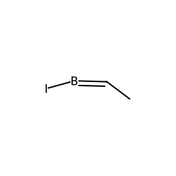 CC=BI